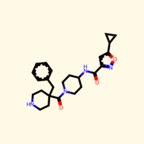 O=C(NC1CCN(C(=O)C2(Cc3ccccc3)CCNCC2)CC1)c1cc(C2CC2)on1